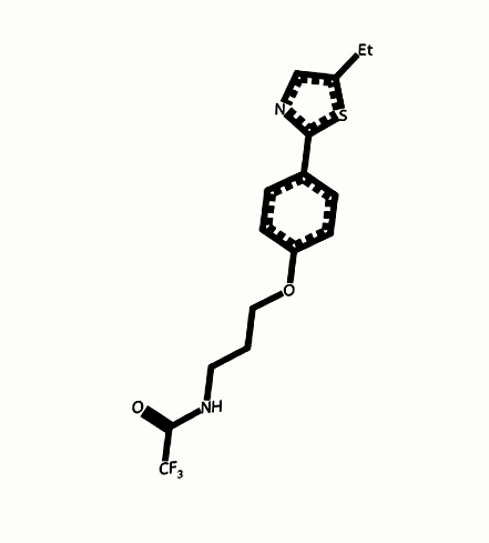 CCc1cnc(-c2ccc(OCCCNC(=O)C(F)(F)F)cc2)s1